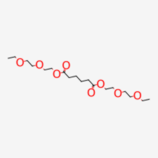 CCOCCOCCOC(=O)CCCCC(=O)OCCOCCOCC